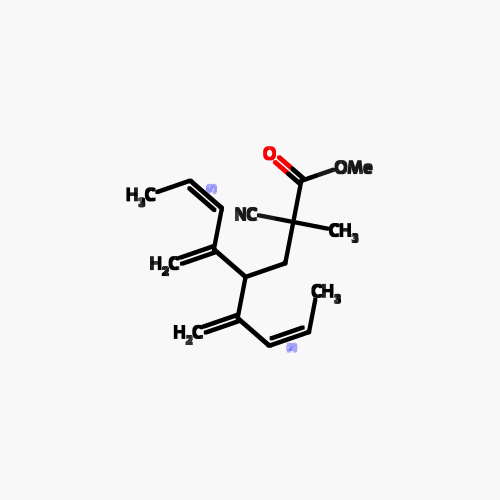 C=C(/C=C\C)C(CC(C)(C#N)C(=O)OC)C(=C)/C=C\C